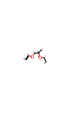 C=COCC(C)OCC